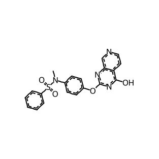 CN(c1ccc(Oc2nc(O)c3ccncc3n2)cc1)S(=O)(=O)c1ccccc1